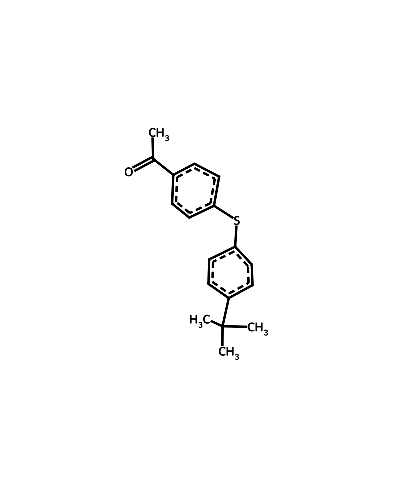 CC(=O)c1ccc(Sc2ccc(C(C)(C)C)cc2)cc1